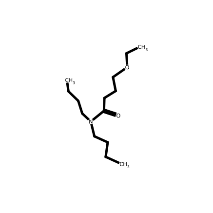 CCCCN(CCCC)C(=O)CCCOCC